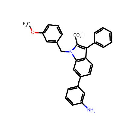 Nc1cccc(-c2ccc3c(-c4ccccc4)c(C(=O)O)n(Cc4cccc(OC(F)(F)F)c4)c3c2)c1